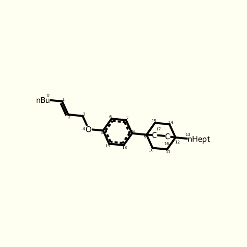 CCCC/C=C/COc1ccc(C23CCC(CCCCCCC)(CC2)CC3)cc1